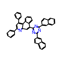 c1ccc(-c2cc(-c3ccccc3)c3c(cc(-c4nc(-c5ccc6ccccc6c5)nc(-c5ccc6ccccc6c5)n4)c4ccccc43)n2)cc1